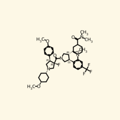 COC[C@H]1CN(C(=O)[C@]2(F)CN([C@H]3CC[C@H](OC)CC3)C[C@H]2c2ccc(OC)cc2)C[C@@H]1c1ccc(C(F)(F)F)cc1N1CCC(C(=O)N(C)C)CC1